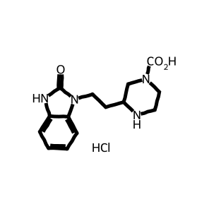 Cl.O=C(O)N1CCNC(CCn2c(=O)[nH]c3ccccc32)C1